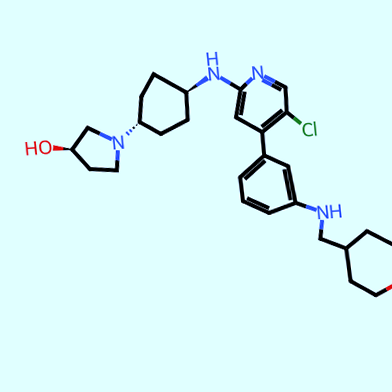 O[C@@H]1CCN([C@H]2CC[C@H](Nc3cc(-c4cccc(NCC5CCOCC5)c4)c(Cl)cn3)CC2)C1